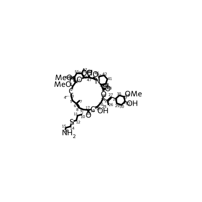 CO[C@H]1C[C@@H](C)C/C(C)=C/[C@@H](CCCSCCN)C(=O)C[C@H](O)[C@@H](C)[C@@H](/C(C)=C/[C@@H]2CC[C@@H](O)[C@H](OC)C2)OC(=O)[C@@H]2CCCCN2C(=O)C(=O)[C@]2(O)O[C@H]1[C@@H](OC)C[C@H]2C